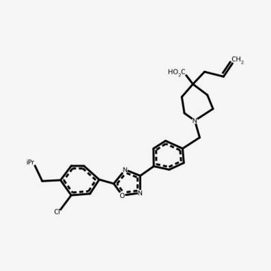 C=CCC1(C(=O)O)CCN(Cc2ccc(-c3noc(-c4ccc(CC(C)C)c(Cl)c4)n3)cc2)CC1